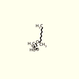 CCCCCCCCC(C)OC(C)CS(=O)(=O)O